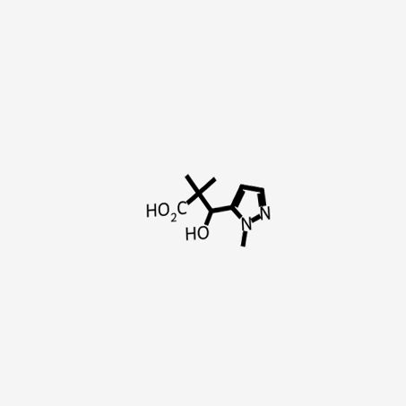 Cn1nccc1C(O)C(C)(C)C(=O)O